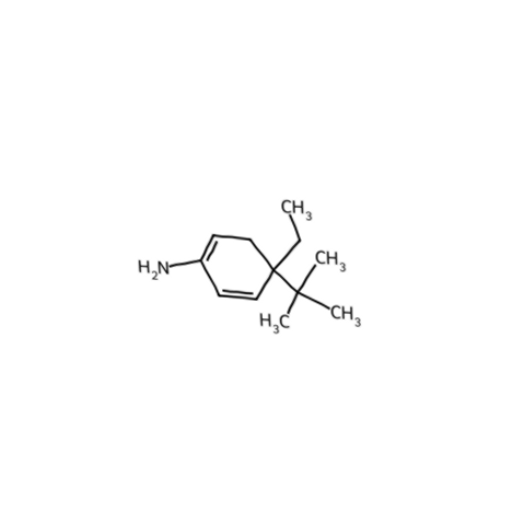 CCC1(C(C)(C)C)C=CC(N)=CC1